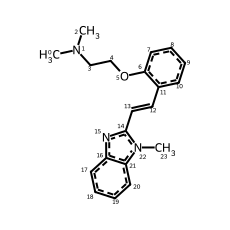 CN(C)CCOc1ccccc1C=Cc1nc2ccccc2n1C